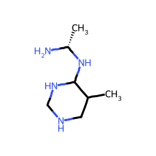 CC1CNCNC1N[C@@H](C)N